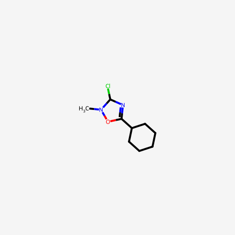 CN1OC(C2CCCCC2)=NC1Cl